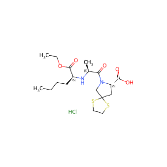 CCCC[C@H](N[C@@H](C)C(=O)N1CC2(C[C@H]1C(=O)O)SCCS2)C(=O)OCC.Cl